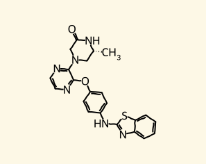 C[C@@H]1CN(c2nccnc2Oc2ccc(Nc3nc4ccccc4s3)cc2)CC(=O)N1